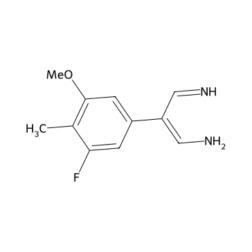 COc1cc(/C(C=N)=C/N)cc(F)c1C